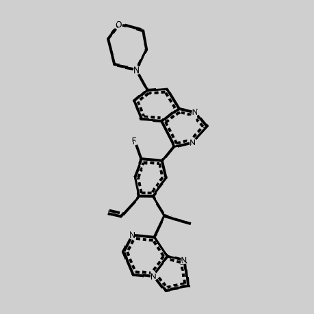 C=Cc1cc(F)c(-c2ncnc3cc(N4CCOCC4)ccc23)cc1C(C)c1nccn2ccnc12